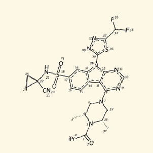 CC(C)C(=O)N1[C@H](C)CN(c2ncnc3c2c2ccc(S(=O)(=O)NC4(C#N)CC4)cc2n3-c2nnc(C(F)F)s2)C[C@@H]1C